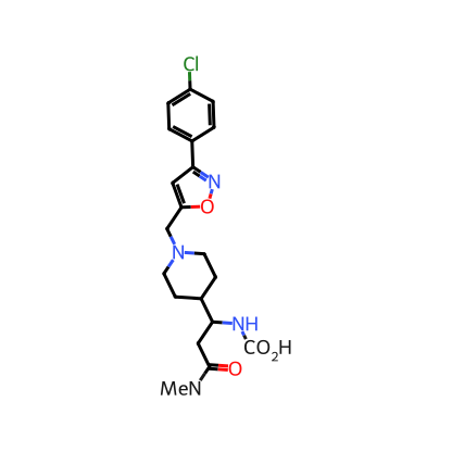 CNC(=O)CC(NC(=O)O)C1CCN(Cc2cc(-c3ccc(Cl)cc3)no2)CC1